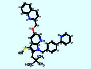 CC(C)(C)Sc1c(CC(C)(C)C(=O)O)n(Cc2ccc(-c3ccccn3)cc2)c2ncc(OCc3ccc4ccccc4n3)cc12